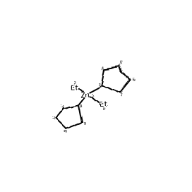 C[CH2][Zn]([CH2]C)([CH]1CCCC1)[CH]1CCCC1